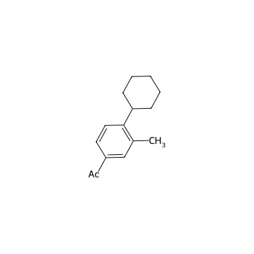 CC(=O)c1ccc(C2CCCCC2)c(C)c1